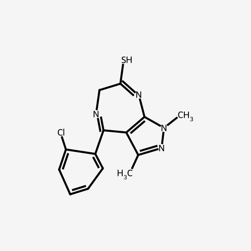 Cc1nn(C)c2c1C(c1ccccc1Cl)=NCC(S)=N2